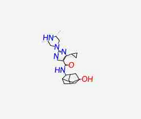 C[C@@H]1CN(c2ncc(C(=O)NC3C4CC5CC3CC(O)(C5)C4)c(C3CC3)n2)C[C@H](C)N1